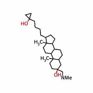 CNC[C@]1(O)CCC2(C)C(CCC3C4CCC(CCCCC5(O)CC5)C4(C)CCC32)C1